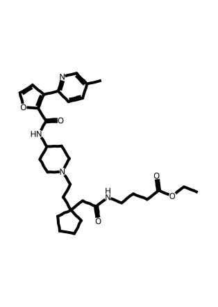 CCOC(=O)CCCNC(=O)CC1(CCN2CCC(NC(=O)c3occc3-c3ccc(C)cn3)CC2)CCCC1